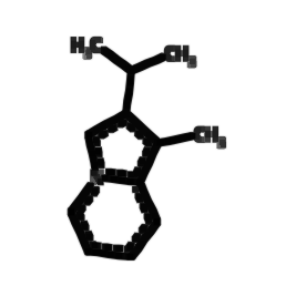 Cc1c(C(C)C)cn2ccccc12